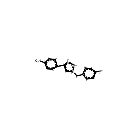 CC(C)c1ccc(Cn2cc(-c3ccc([N+](=O)[O-])cc3)nn2)cc1